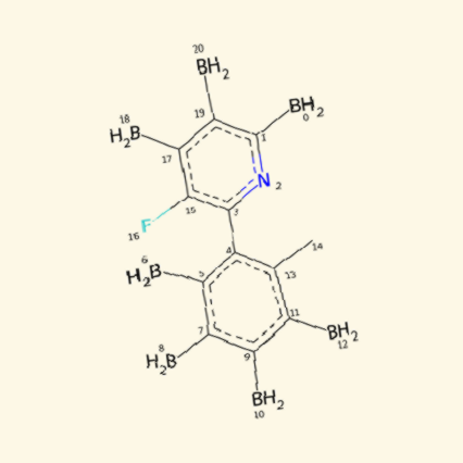 Bc1nc(-c2c(B)c(B)c(B)c(B)c2C)c(F)c(B)c1B